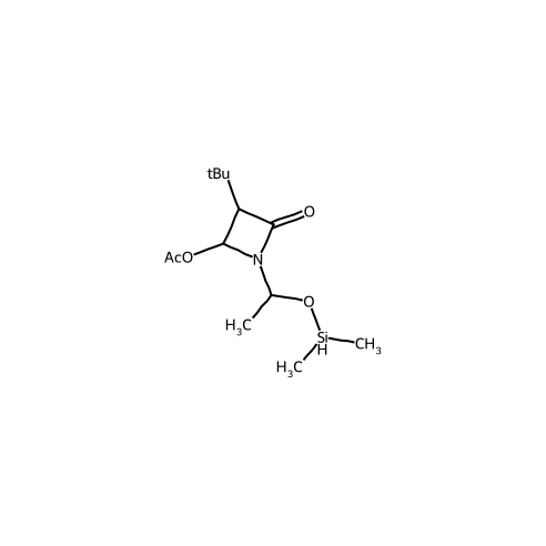 CC(=O)OC1C(C(C)(C)C)C(=O)N1C(C)O[SiH](C)C